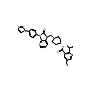 O=C(N[C@H]1CC[C@H](Cn2c(=O)n(-c3ccc(-n4ccnn4)cc3)c3ncccc32)CC1)c1cc(Cl)cnc1C(F)F